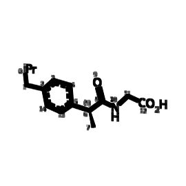 CC(C)Cc1ccc([C@H](C)C(=O)NCC(=O)O)cc1